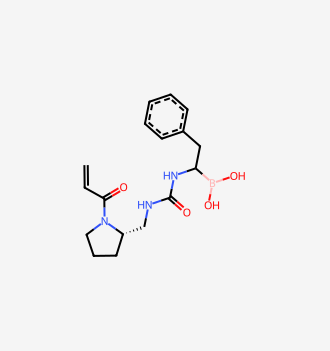 C=CC(=O)N1CCC[C@H]1CNC(=O)NC(Cc1ccccc1)B(O)O